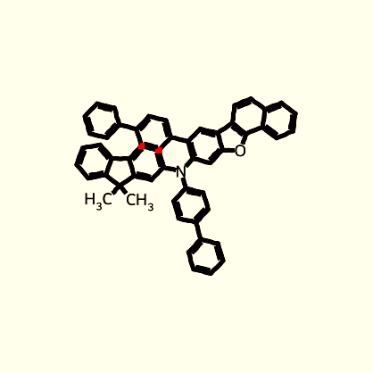 CC1(C)c2ccccc2-c2ccc(N(c3ccc(-c4ccccc4)cc3)c3cc4oc5c6ccccc6ccc5c4cc3-c3ccc(-c4ccccc4)cc3)cc21